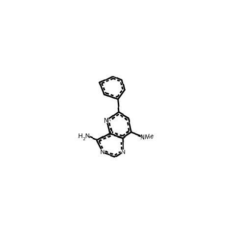 CNc1cc(-c2ccccc2)nc2c(N)ncnc12